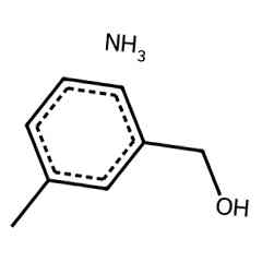 Cc1cccc(CO)c1.N